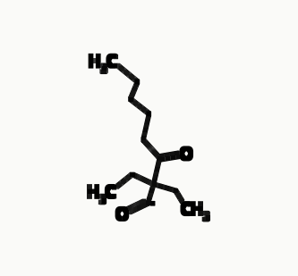 CCCCCC(=O)C([C]=O)(CC)CC